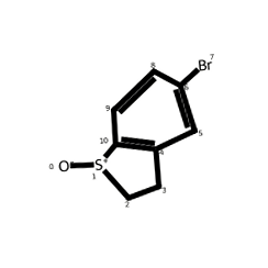 [O-][S+]1CCc2cc(Br)ccc21